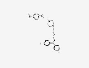 COc1ccc(OCCN2CCN(CCCCCC(c3ccc(F)cc3)c3ccc(F)cc3)CC2)cc1